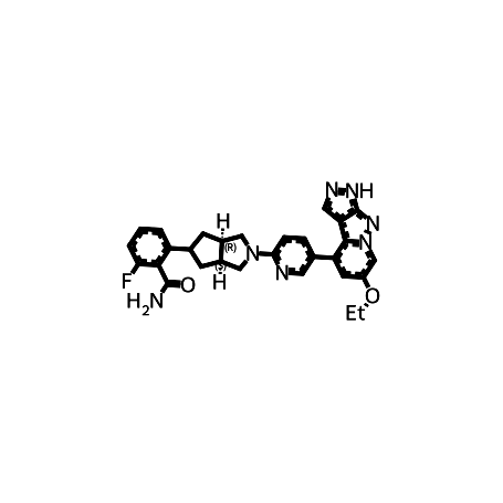 CCOc1cc(-c2ccc(N3C[C@H]4CC(c5cccc(F)c5C(N)=O)C[C@H]4C3)nc2)c2c3cn[nH]c3nn2c1